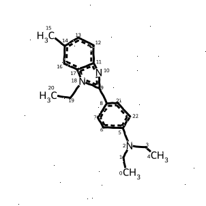 CCN(CC)c1ccc(-c2nc3ccc(C)cc3n2CC)cc1